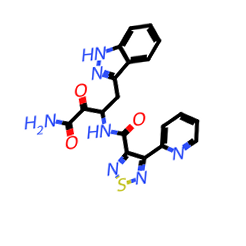 NC(=O)C(=O)C(Cc1n[nH]c2ccccc12)NC(=O)c1nsnc1-c1ccccn1